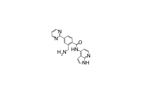 NCc1cc(-c2ncccn2)ccc1C(=O)Nc1ccnc2[nH]ccc12